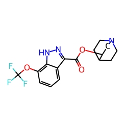 O=C(OC1CN2CCC1CC2)c1n[nH]c2c(OC(F)(F)F)cccc12